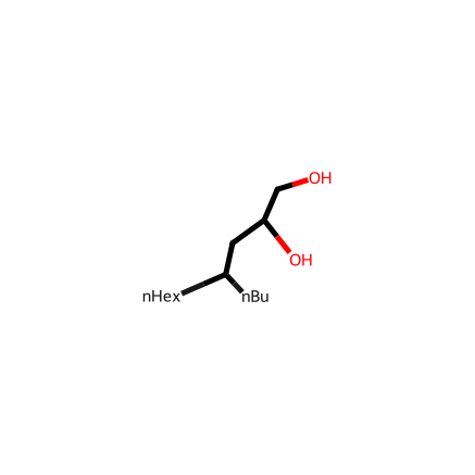 CCCCCCC(CCCC)CC(O)CO